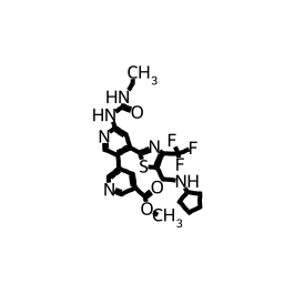 CCNC(=O)Nc1cc(-c2nc(C(F)(F)F)c(CNC3CCCC3)s2)c(-c2cncc(C(=O)OC)c2)cn1